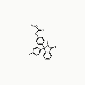 COC(=O)Oc1ccc(C2(c3ccc(C)cc3)c3ccccc3C(=O)N2I)cc1